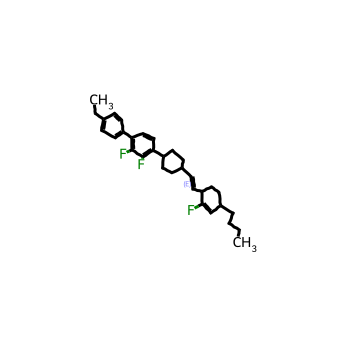 CCCCC1C=C(F)C(/C=C/C2CCC(c3ccc(-c4ccc(CC)cc4)c(F)c3F)CC2)CC1